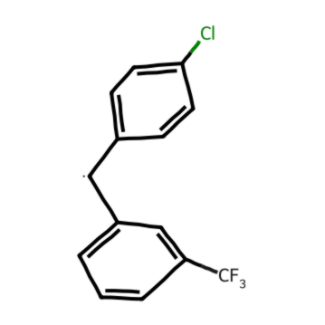 FC(F)(F)c1cccc([CH]c2ccc(Cl)cc2)c1